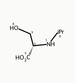 CC(C)N[C@@H](CO)C(=O)O